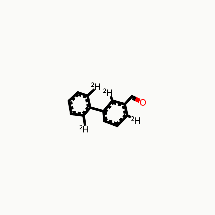 [2H]c1ccc(-c2c([2H])cccc2[2H])c([2H])c1C=O